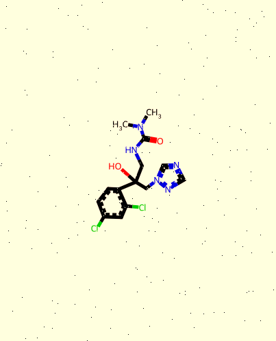 CN(C)C(=O)NCC(O)(Cn1cncn1)c1ccc(Cl)cc1Cl